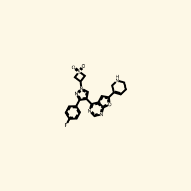 O=S1(=O)CC(n2cc(-c3ncnc4oc(C5=CCCNC5)cc34)c(-c3ccc(F)cc3)n2)C1